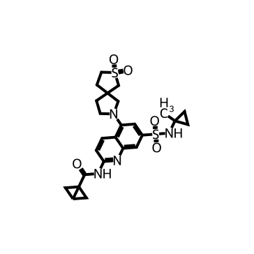 CC1(NS(=O)(=O)c2cc(N3CCC4(CCS(=O)(=O)C4)C3)c3ccc(NC(=O)C45CC4C5)nc3c2)CC1